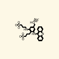 O=S(=O)([O-])CCCNc1cc(CO)cc(Nc2c3ccccc3nc3ccccc23)c1CCCS(=O)(=O)[O-].[Na+].[Na+]